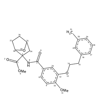 COC(=O)C1(NC(=O)c2ccc(OC)c(OCCc3cccc(C)c3)c2)CC2CCC1O2